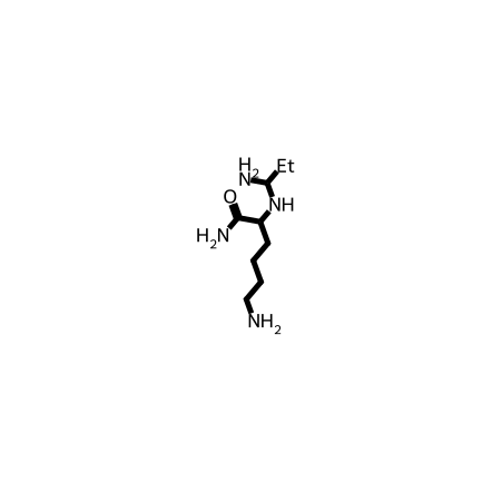 CCC(N)NC(CCCCN)C(N)=O